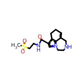 CS(=O)(=O)CCNC(=O)c1cn2c3c1CCC=C3CNCC2